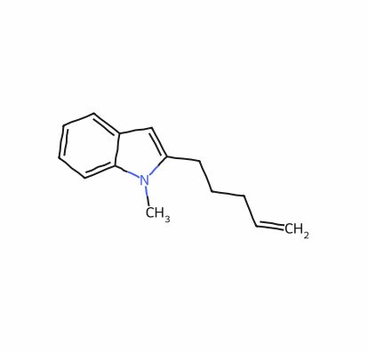 C=CCCCc1cc2ccccc2n1C